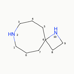 C1CNCCCC2(C1)CCN2